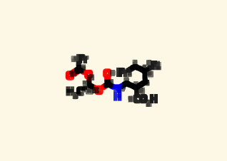 CC[C@H](CC(C)C)C[C@H](CNC(=O)O[C@H](C)OC(=O)C(C)C)C(=O)O